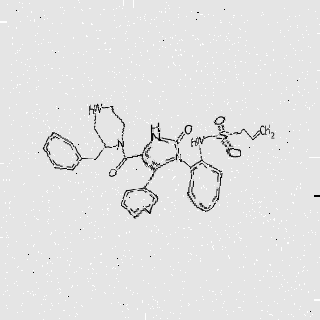 C=CCS(=O)(=O)Nc1ccccc1-n1c(-c2ccccc2)c(C(=O)N2CCNCC2Cc2ccccc2)[nH]c1=O